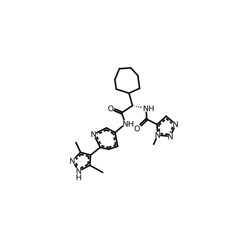 Cc1n[nH]c(C)c1-c1ccc(NC(=O)[C@@H](NC(=O)c2cnnn2C)C2CCCCCC2)cn1